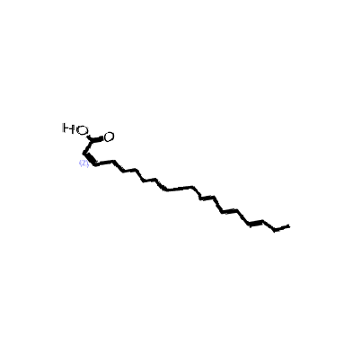 CCC=CCCCCCCCCCCC/C=C\C(=O)O